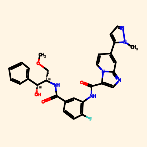 COC[C@H](NC(=O)c1ccc(F)c(NC(=O)c2cnc3cc(-c4ccnn4C)ccn23)c1)[C@H](O)c1ccccc1